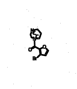 O=C(c1occc1Br)N1CCN2CCC1CC2